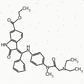 CCOC(=O)c1ccc2c(c1)NC(=O)C2=C(Nc1ccc(N(C)C(=O)CN(CC)CC)cc1)c1ccccc1